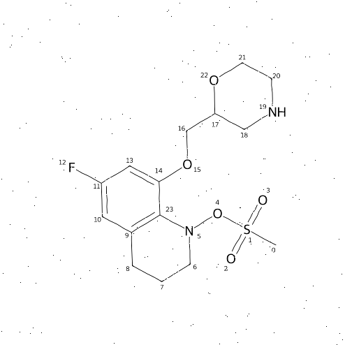 CS(=O)(=O)ON1CCCc2cc(F)cc(OCC3CNCCO3)c21